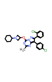 Cc1nc(OC2CN(C3CCCCC3)C2)n2nc(-c3ccccc3Cl)c(-c3ccc(Cl)cc3)c2n1